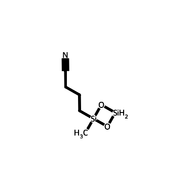 C[Si]1(CCCC#N)O[SiH2]O1